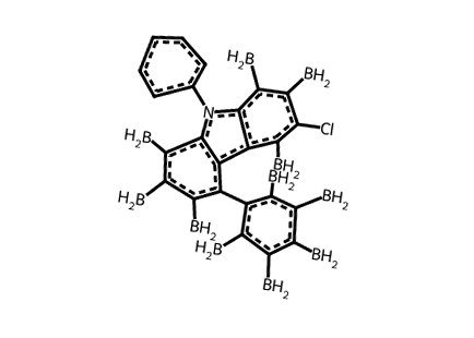 Bc1c(B)c(B)c(-c2c(B)c(B)c(B)c3c2c2c(B)c(Cl)c(B)c(B)c2n3-c2ccccc2)c(B)c1B